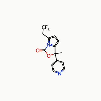 CC1(c2ccncc2)OC(=O)n2c(CC(F)(F)F)ccc21